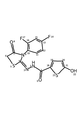 O=C(N/N=C1/SCC(=O)N1c1ccc(F)cc1F)c1ccc(O)s1